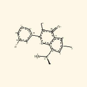 Cc1cc([C@@H](C)N)c2oc(-c3cccc(F)c3)c(C)c(=O)c2c1